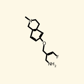 CN1CCc2cc(OCC(=CF)CN)ccc2C1